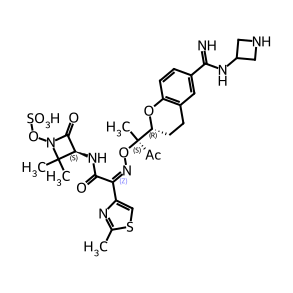 CC(=O)[C@@](C)(O/N=C(\C(=O)N[C@@H]1C(=O)N(OS(=O)(=O)O)C1(C)C)c1csc(C)n1)[C@H]1CCc2cc(C(=N)NC3CNC3)ccc2O1